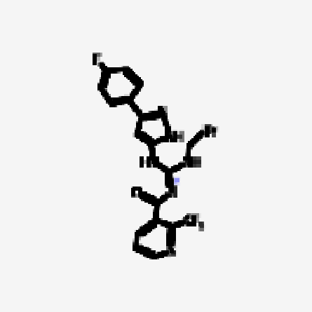 CC(C)CN/C(=N/C(=O)c1cccnc1C(F)(F)F)Nc1cc(-c2ccc(F)cc2)n[nH]1